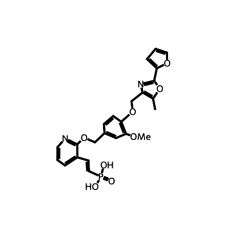 COc1cc(COc2ncccc2C=CP(=O)(O)O)ccc1OCc1nc(-c2ccco2)oc1C